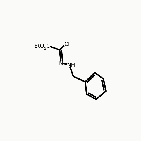 CCOC(=O)/C(Cl)=N/NCc1ccccc1